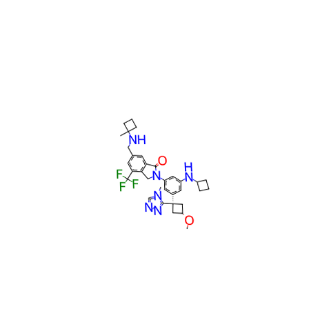 CO[C@H]1C[C@](c2cc(NC3CCC3)cc(N3Cc4c(cc(CNC5(C)CCC5)cc4C(F)(F)F)C3=O)c2)(c2nncn2C)C1